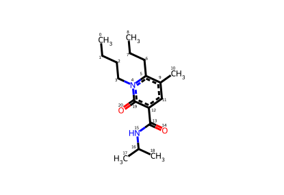 CCCCn1c(CCC)c(C)cc(C(=O)NC(C)C)c1=O